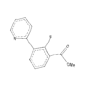 COC(=O)c1cccc(-c2ccccn2)c1F